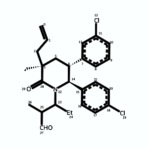 C=CC[C@@]1(C)C[C@H](c2cccc(Cl)c2)[C@@H](c2ccc(Cl)cc2)N(C(CC)C(C)C=O)C1=O